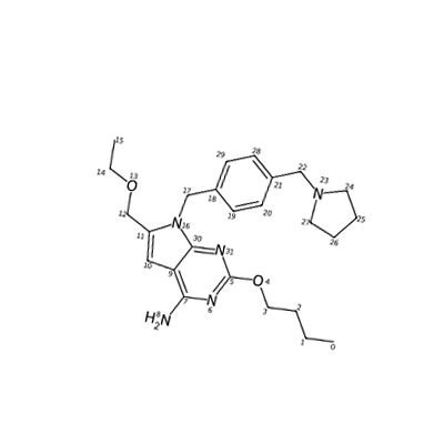 CCCCOc1nc(N)c2cc(COCC)n(Cc3ccc(CN4CCCC4)cc3)c2n1